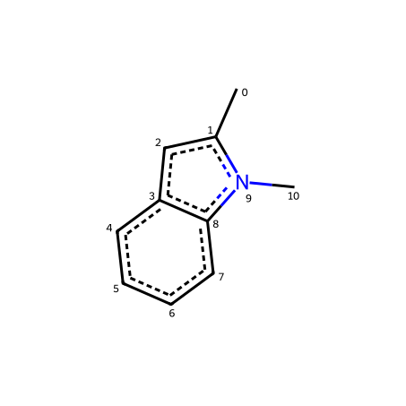 Cc1cc2ccccc2n1C